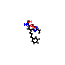 CCc1noc([C@H](CCCC2CCCCC2)CC(=O)NO)n1